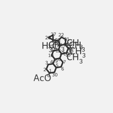 CC(=O)OC1CCC2C(CCC3C2CCC2C3C(C)C(C)(C)C3(C)CCC(C4(C)CC4)C23C)C1